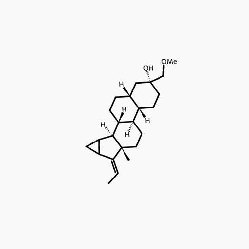 C/C=C1\C2CC2[C@H]2[C@@H]3CC[C@@H]4C[C@@](O)(COC)CC[C@@H]4[C@H]3CC[C@]12C